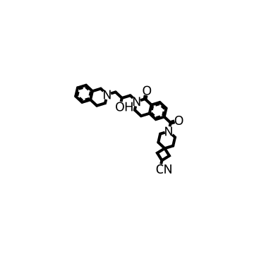 N#CC1CC2(CCN(C(=O)c3ccc4c(c3)CCN(CC(O)CN3CCc5ccccc5C3)C4=O)CC2)C1